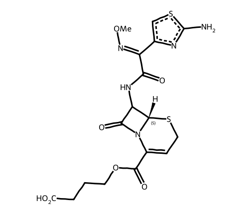 CON=C(C(=O)NC1C(=O)N2C(C(=O)OCCCC(=O)O)=CCS[C@@H]12)c1csc(N)n1